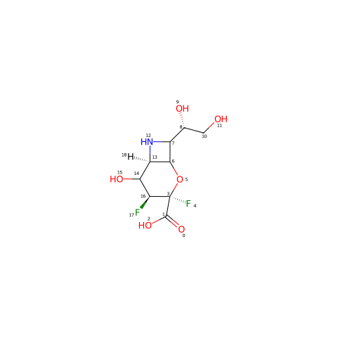 O=C(O)[C@]1(F)OC2C([C@H](O)CO)N[C@@H]2C(O)[C@@H]1F